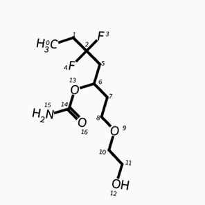 CCC(F)(F)CC(CCOCCO)OC(N)=O